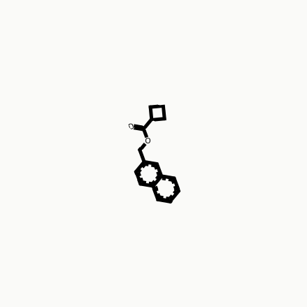 O=C(OCc1ccc2ccccc2c1)C1CCC1